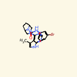 Cc1c[nH]c2ncnc(N3CC4CCC(C3)N4C(=O)Nc3cccc(Br)c3)c12